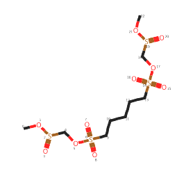 COS(=O)COS(=O)(=O)CCCCCS(=O)(=O)OCS(=O)OC